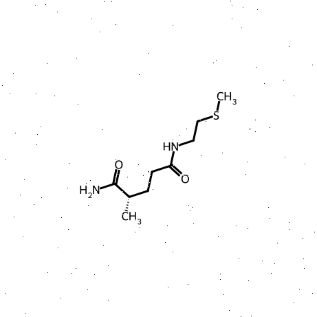 CSCCNC(=O)[CH]C[C@H](C)C(N)=O